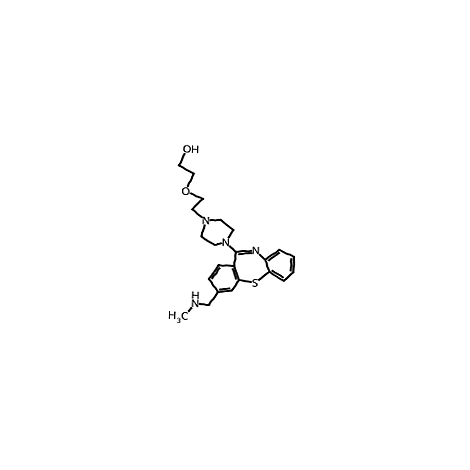 CNCc1ccc2c(c1)Sc1ccccc1N=C2N1CCN(CCOCCO)CC1